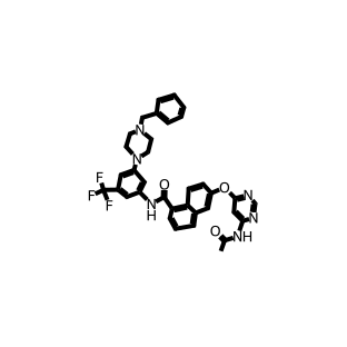 CC(=O)Nc1cc(Oc2ccc3c(C(=O)Nc4cc(N5CCN(Cc6ccccc6)CC5)cc(C(F)(F)F)c4)cccc3c2)ncn1